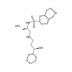 C[C@H](CNCC[C@@H](O)c1ccccc1)NS(=O)(=O)c1ccc2cnccc2c1.Cl